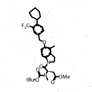 COC(=O)C[C@H](C(=O)N1CCc2c1ccc(OCc1ccc(C3CCCCC3)c(C(F)(F)F)c1)c2C)N(C)C(=O)OC(C)(C)C